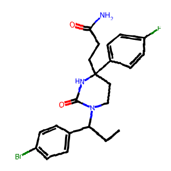 CCC(c1ccc(Br)cc1)N1CCC(CCC(N)=O)(c2ccc(F)cc2)NC1=O